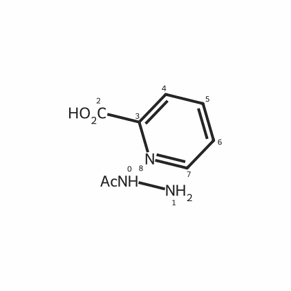 CC(=O)NN.O=C(O)c1ccccn1